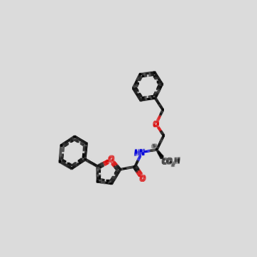 O=C(N[C@@H](COCc1ccccc1)C(=O)O)c1ccc(-c2ccccc2)o1